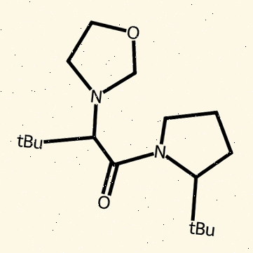 CC(C)(C)C(C(=O)N1CCCC1C(C)(C)C)N1CCOC1